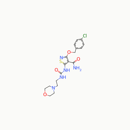 NC(=O)c1c(OCc2ccc(Cl)cc2)nsc1NC(=O)NCCN1CCOCC1